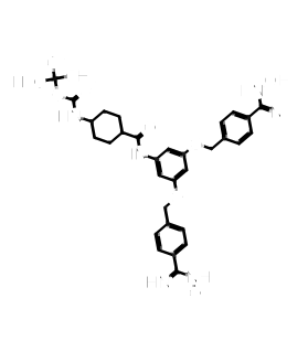 CC(C)(C)OC(=O)NC1CCC(C(=O)Nc2cc(OCc3ccc(C(=N)NO)cc3)cc(OCc3ccc(C(=N)NO)cc3)c2)CC1